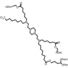 CCCCCCCCCCCOC(=O)CCCCCN(CCCCCCCC(=O)O)CCN1CCN(CCN(CCCCCCCC(=O)OCCCC(CCCCC)CCCCC)CCCCCC(=O)OCCCCCCCCCCC)CC1